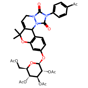 CC(=O)OC[C@H]1O[C@@H](Oc2ccc3c(c2)OC(C)(C)C2=CCn4c(=O)n(-c5ccc(C(C)=O)cc5)c(=O)n4C23)[C@H](OC(C)=O)[C@@H](OC(C)=O)[C@@H]1OC(C)=O